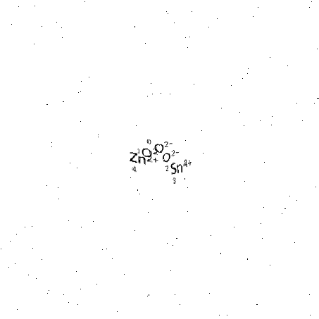 [O-2].[O-2].[O-2].[Sn+4].[Zn+2]